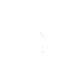 C=CC(=O)OCCCCC[SiH2]CC(OC)OC